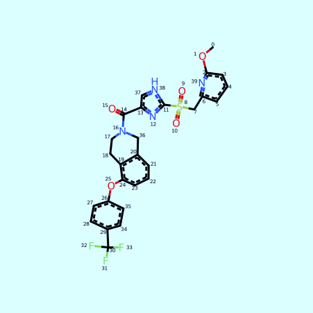 COc1cccc(CS(=O)(=O)c2nc(C(=O)N3CCc4c(cccc4Oc4ccc(C(F)(F)F)cc4)C3)c[nH]2)n1